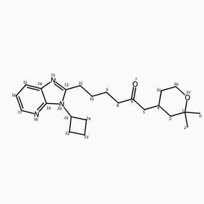 CC1(C)CC(CC(=O)CCCCc2nc3cccnc3n2C2CCC2)CCO1